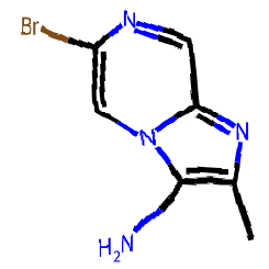 Cc1nc2cnc(Br)cn2c1N